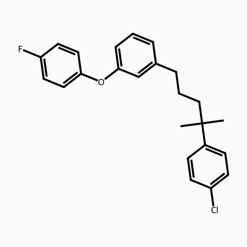 CC(C)(CCCc1cccc(Oc2ccc(F)cc2)c1)c1ccc(Cl)cc1